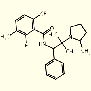 Cc1ccc(C(F)(F)F)c(C(=O)NC(c2ccccc2)C(C)(C)N2CCCC2C)c1F